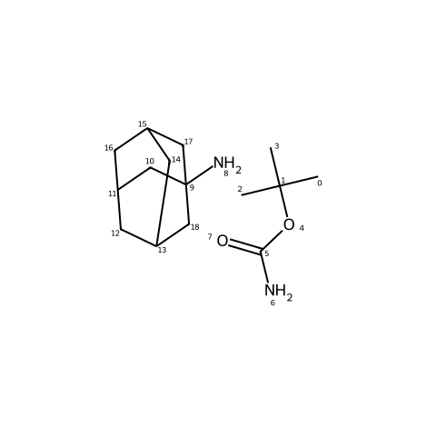 CC(C)(C)OC(N)=O.NC12CC3CC(CC(C3)C1)C2